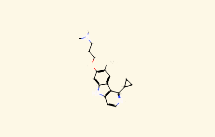 CCN(C)CCCOc1cc2[nH]c3ccnc(C4CC4)c3c2cc1OC